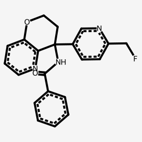 O=C(NC1(c2ccc(CF)nc2)CCOc2cccnc21)c1ccccc1